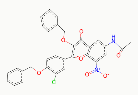 CC(=O)Nc1cc([N+](=O)[O-])c2oc(-c3ccc(OCc4ccccc4)c(Cl)c3)c(OCc3ccccc3)c(=O)c2c1